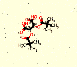 CC(C)(C)C(=O)O[C@H](C(=O)O)[C@H](OC(=O)C(C)(C)C)C(=O)O